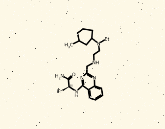 CCN(CCNCc1nc(N[C@H](C(N)=O)C(C)C)c2ccccc2n1)C1CCCC(C)C1